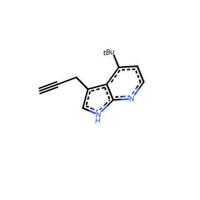 C#CCc1c[nH]c2nccc(C(C)(C)C)c12